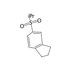 CC(C)S(=O)(=O)c1ccc2c(c1)CCC2